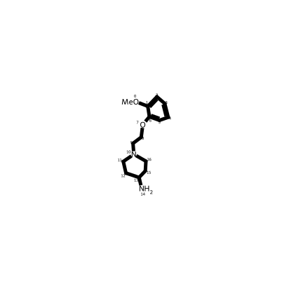 COc1ccccc1OCCN1CCC(N)CC1